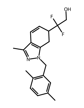 Cc1ccc(C)c(Cn2nc(C)c3c2CC(C(F)(F)CO)C=C3)c1